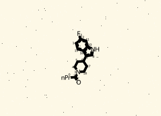 CCCC(=O)N1CCC(c2c[nH]c3cc(F)ccc23)CC1